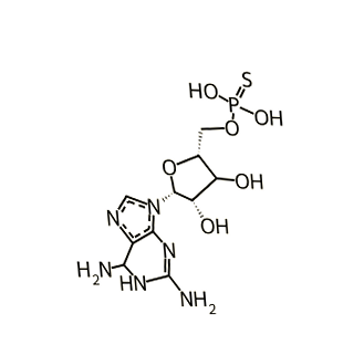 NC1=Nc2c(ncn2[C@@H]2O[C@H](COP(O)(O)=S)C(O)[C@@H]2O)C(N)N1